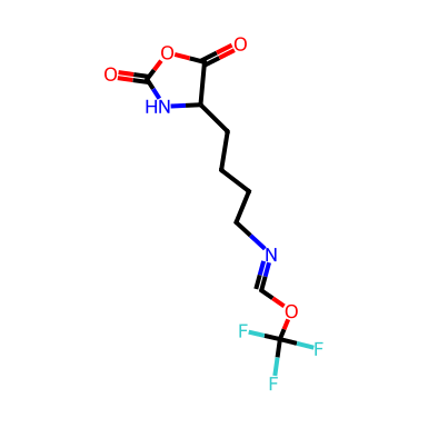 O=C1NC(CCCCN=COC(F)(F)F)C(=O)O1